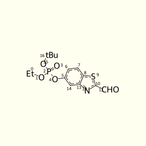 CCOP(=O)(Oc1ccc2sc(C=O)nc2c1)OC(C)(C)C